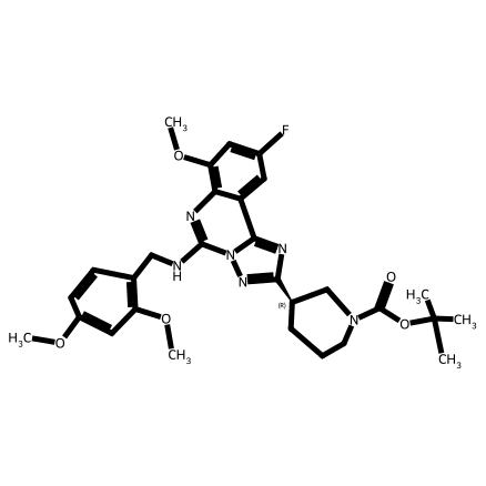 COc1ccc(CNc2nc3c(OC)cc(F)cc3c3nc([C@@H]4CCCN(C(=O)OC(C)(C)C)C4)nn23)c(OC)c1